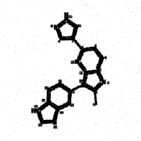 Cc1nc2ccc(-c3cn[nH]c3)nc2n1-c1ccc2[nH]cnc2c1